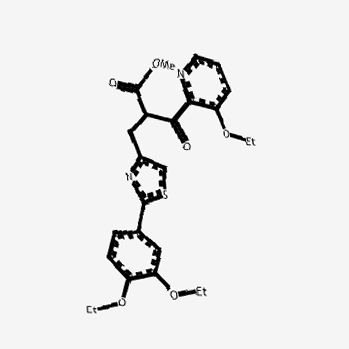 CCOc1ccc(-c2nc(CC(C(=O)OC)C(=O)c3ncccc3OCC)cs2)cc1OCC